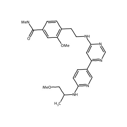 CNC(=O)c1ccc(CCNc2cc(-c3ccc(NC(C)COC)nc3)ncn2)c(OC)c1